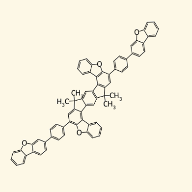 CC1(C)c2cc3c(cc2-c2c1cc(-c1ccc(-c4ccc5c(c4)oc4ccccc45)cc1)c1oc4ccccc4c21)C(C)(C)c1cc(-c2ccc(-c4ccc5c(c4)oc4ccccc45)cc2)c2oc4ccccc4c2c1-3